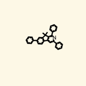 CC1(C)c2cc(-c3ccccc3)ccc2-c2cc(-c3ccccc3)nc(-c3ccccc3)c21